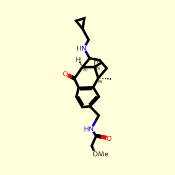 COCC(=O)NCc1ccc2c(c1)[C@]1(C)CCC(NCC3CC3)[C@H](C2=O)[C@@H]1C